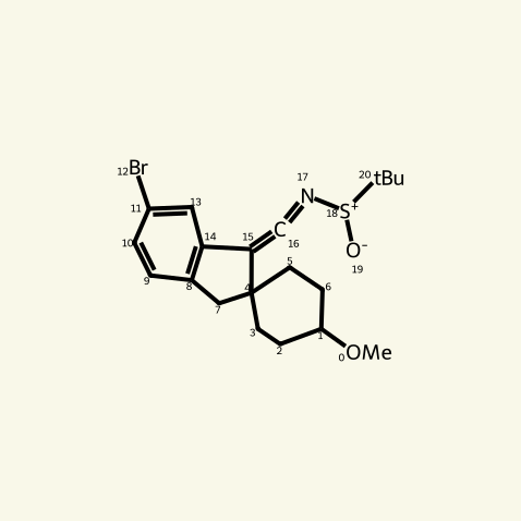 COC1CCC2(CC1)Cc1ccc(Br)cc1C2=C=N[S+]([O-])C(C)(C)C